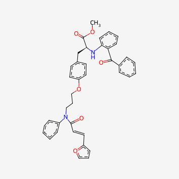 COC(=O)[C@H](Cc1ccc(OCCCN(C(=O)C=Cc2ccco2)c2ccccc2)cc1)Nc1ccccc1C(=O)c1ccccc1